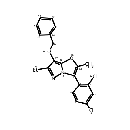 CCc1nn2c(-c3ccc(Cl)cc3Cl)c(C)oc2c1OCc1ccccc1